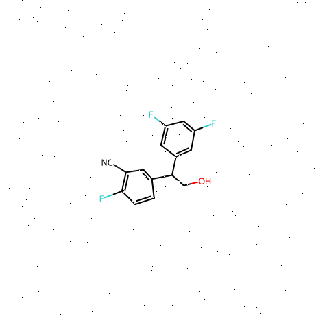 N#Cc1cc(C(CO)c2cc(F)cc(F)c2)ccc1F